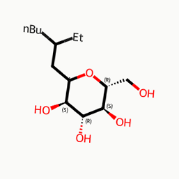 CCCCC(CC)C[C]1O[C@H](CO)[C@@H](O)[C@H](O)[C@H]1O